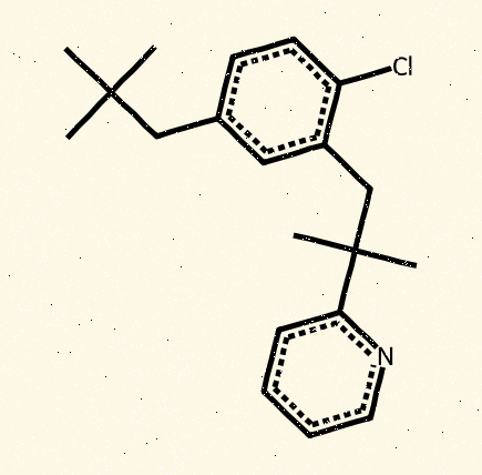 CC(C)(C)Cc1ccc(Cl)c(CC(C)(C)c2ccccn2)c1